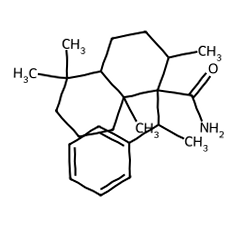 CC1CCC2C(C)(C)CCCC2(C)C1(C(N)=O)C(C)c1ccccc1